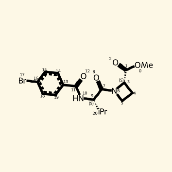 COC(=O)[C@@H]1CCN1C(=O)[C@@H](NC(=O)c1ccc(Br)cc1)C(C)C